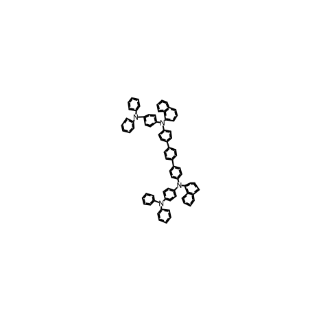 c1ccc(N(c2ccccc2)c2ccc(N(c3ccc(-c4ccc(-c5ccc(N(c6ccc(N(c7ccccc7)c7ccccc7)cc6)c6cccc7ccccc67)cc5)cc4)cc3)c3cccc4ccccc34)cc2)cc1